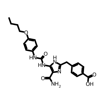 CCCCOc1ccc(NC(=O)Nc2[nH]c(Cc3ccc(C(=O)O)cc3)nc2C(N)=O)cc1